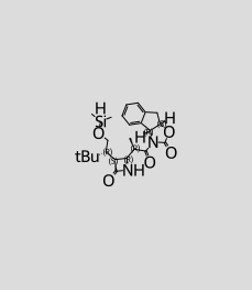 C[C@@H](C(=O)N1C(=O)O[C@H]2Cc3ccccc3[C@H]21)[C@H]1NC(=O)[C@H]1[C@@H](CO[SiH](C)C)C(C)(C)C